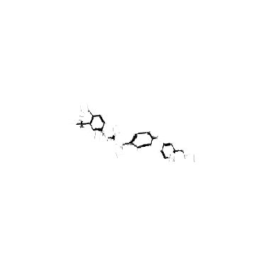 O=C(Nc1ccc(Oc2ccnc(CCl)c2)cc1)Nc1ccc(Cl)c(C(F)(F)F)c1